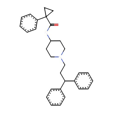 O=C(NC1CCN(CCC(c2ccccc2)c2ccccc2)CC1)C1(c2ccccc2)CC1